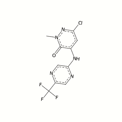 Cn1nc(Cl)cc(Nc2cnc(C(F)(F)F)cn2)c1=O